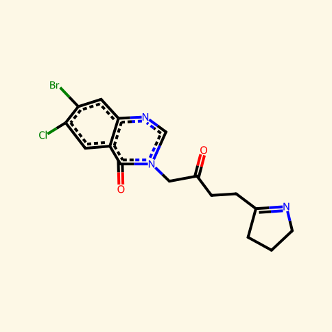 O=C(CCC1=NCCC1)Cn1cnc2cc(Br)c(Cl)cc2c1=O